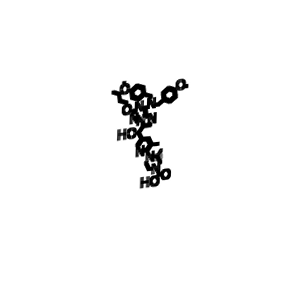 CCCCOc1nc(N(Cc2ccc(OC)cc2)Cc2ccc(OC)cc2)c2ncc(C(O)c3cnc(N4CCN(C(=O)O)C[C@@H]4C)c(C)c3)n2n1